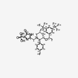 C[C@@H](O[C@@H]1OCCN(Cc2nn(P(=O)(O)O)c(=O)[nH]2)[C@@H]1c1ccc(F)cc1)c1cc(C(F)(F)F)cc(C(F)(F)F)c1